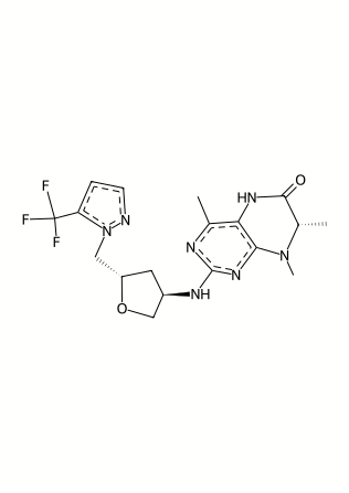 Cc1nc(N[C@H]2CO[C@H](Cn3nccc3C(F)(F)F)C2)nc2c1NC(=O)[C@H](C)N2C